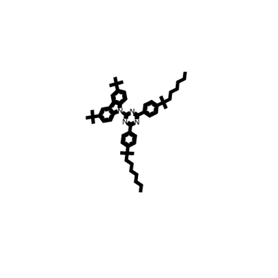 CCCCCCCC(C)(C)c1ccc(-c2nc(-c3ccc(C(C)(C)CCCCCC)cc3)nc(-n3c4ccc(C(C)(C)C)cc4c4cc(C(C)(C)C)ccc43)n2)cc1